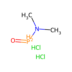 CN(C)[PH2]=O.Cl.Cl